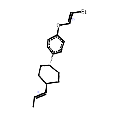 C/C=C/[C@H]1CC[C@H](c2ccc(O/C=C/CC)cc2)CC1